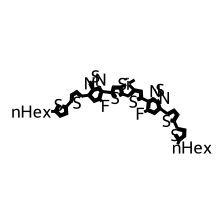 CCCCCCc1ccc(-c2ccc(-c3cc(F)c(-c4cc5c(s4)-c4sc(-c6c(F)cc(-c7ccc(-c8ccc(CCCCCC)s8)s7)c7nsnc67)cc4[Si]5(C)C)c4nsnc34)s2)s1